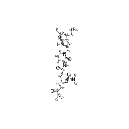 Cc1nc(CC(C)(C)C)c2nc(Cn3cccc(NC(=O)C(CC/C=C/C(=O)N(C)C)OC(=O)N(C)C)c3=O)[nH]c2n1